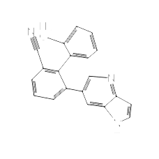 Cc1ccccc1-c1c(C#N)cccc1-c1cnc2cc[nH]c2c1